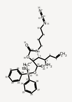 C=CC[C@@H](N)[C@H]1N(CCCCN=[N+]=[N-])C(=O)O[C@]1(C)[C@@H](CC)O[Si](c1ccccc1)(c1ccccc1)C(C)(C)C